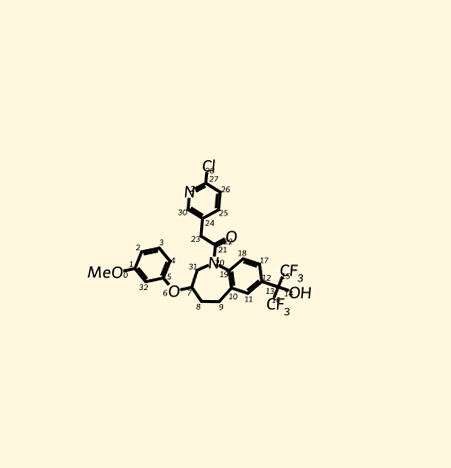 COc1cccc(OC2CCc3cc(C(O)(C(F)(F)F)C(F)(F)F)ccc3N(C(=O)Cc3ccc(Cl)nc3)C2)c1